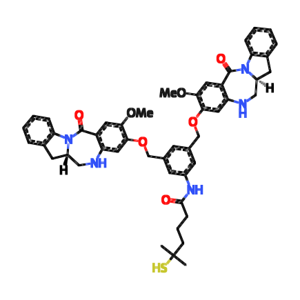 COc1cc2c(cc1OCc1cc(COc3cc4c(cc3OC)C(=O)N3c5ccccc5C[C@H]3CN4)cc(NC(=O)CCCC(C)(C)S)c1)NC[C@@H]1Cc3ccccc3N1C2=O